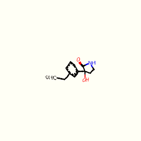 O=[C]Cc1cccc(C2(O)CCNC2=O)c1